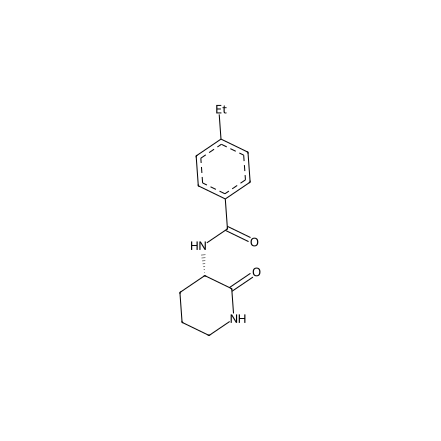 CCc1ccc(C(=O)N[C@H]2CCCNC2=O)cc1